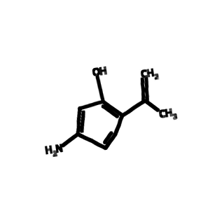 C=C(C)c1ccc(N)cc1O